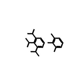 CC(C)c1cccc(C(C)C)c1C(C)C.Cc1cccc(C)c1C